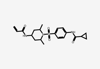 C=CC(=O)NC1CC(C)N(S(=O)(=O)c2ccc(NC(=O)C3CC3)cc2)C(C)C1